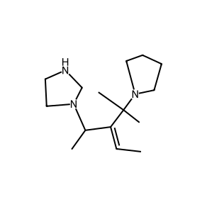 CC=C(C(C)N1CCNC1)C(C)(C)N1CCCC1